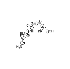 Cn1c(-c2cn(-c3ccc(N)cn3)nc2C(F)(F)F)cnc1C(=O)Nc1ccc(C(=O)N2CCN(C(=O)C3CC[N+](CCCC(=O)O)(CC4CNC4)CC3)CC2)c(Cl)c1